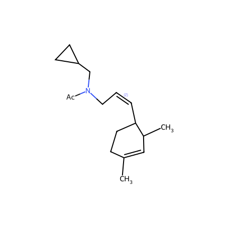 CC(=O)N(C/C=C\C1CCC(C)=CC1C)CC1CC1